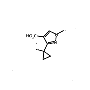 Cn1cc(C(=O)O)c(C2(C)CC2)n1